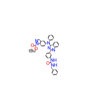 CC(C)(C)OC(=O)n1ncc2cc(N(c3ccccc3)c3nc(-c4cccc(NC(=O)NCc5ccccc5)c4)nc4ccccc34)ccc21